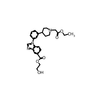 CCOC(=O)CN1CCC(c2cccc(-n3cnc4cc(C(=O)OCCO)ccc43)c2)CC1